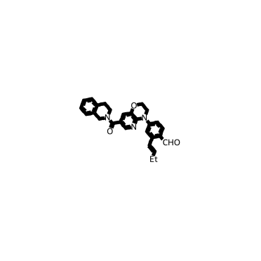 CC/C=C/c1cc(N2CCOc3cc(C(=O)N4CCc5ccccc5C4)cnc32)ccc1C=O